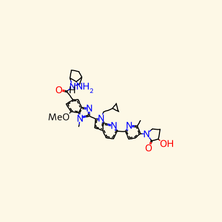 COc1cc(C(=O)N2CC3CCC2[C@@H]3N)cc2nc(-c3cc4ccc(-c5ccc(N6CCC(O)C6=O)c(C)n5)nc4n3CC3CC3)n(C)c12